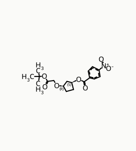 CC(C)(C)OC(=O)CO[C@@H]1CC[C@H](OC(=O)c2ccc([N+](=O)[O-])cc2)C1